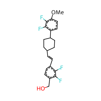 COc1ccc(C2CCC(/C=C/c3ccc(CO)c(F)c3F)CC2)c(F)c1F